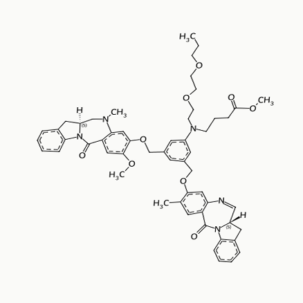 CCCOCCOCCN(CCCC(=O)OC)c1cc(COc2cc3c(cc2C)C(=O)N2c4ccccc4C[C@H]2C=N3)cc(COc2cc3c(cc2OC)C(=O)N2c4ccccc4C[C@H]2CN3C)c1